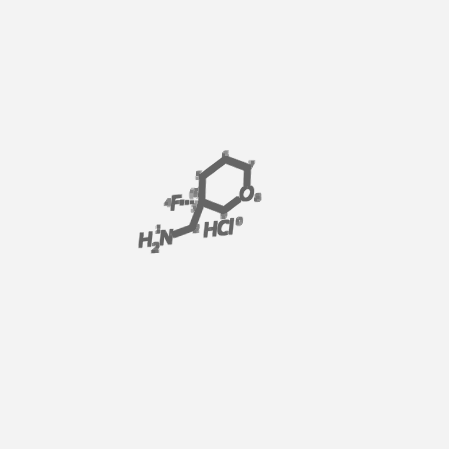 Cl.NC[C@@]1(F)CCCOC1